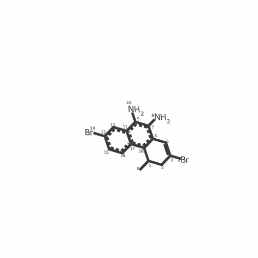 CC1CC(Br)=Cc2c(N)c(N)c3cc(Br)ccc3c21